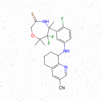 CC1(C)OCC(=S)NC(C)(c2cc(NC3CCCc4cc(C#N)cnc43)ccc2F)C1(F)F